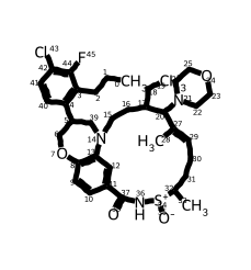 CCCc1c(C2COc3ccc4cc3N(CCC(CC)C(N3CCOCC3)/C(C)=C/CCC(C)[S+]([O-])NC4=O)C2)ccc(Cl)c1F